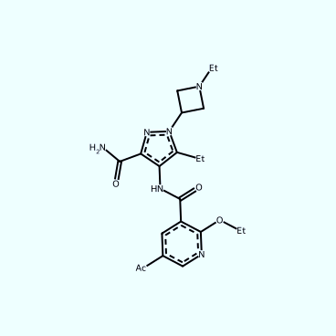 CCOc1ncc(C(C)=O)cc1C(=O)Nc1c(C(N)=O)nn(C2CN(CC)C2)c1CC